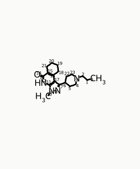 CCCN1CCC(c2nn(C)c3[nH]c(=O)c4c(c23)CCCC4)CC1